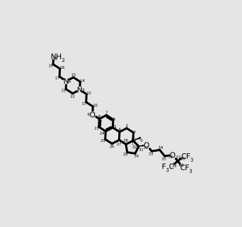 C[C@]12CCC3c4ccc(OCCCN5CCN(CCCN)CC5)cc4CCC3C1CC[C@@H]2OCCCOC(C(F)(F)F)(C(F)(F)F)C(F)(F)F